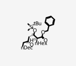 CCCCCCCCCCC[C@@H](O)C[C@H](O[Si](C)(C)C(C)(C)C)[C@H](CCCCCC)C(=O)OCc1ccccc1